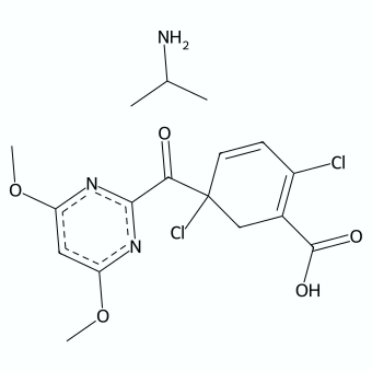 CC(C)N.COc1cc(OC)nc(C(=O)C2(Cl)C=CC(Cl)=C(C(=O)O)C2)n1